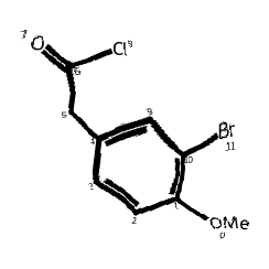 COc1ccc(CC(=O)Cl)cc1Br